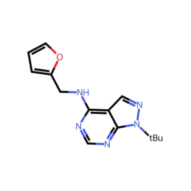 CC(C)(C)n1ncc2c(NCc3ccco3)ncnc21